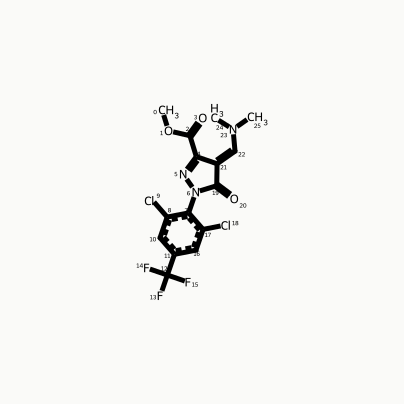 COC(=O)C1=NN(c2c(Cl)cc(C(F)(F)F)cc2Cl)C(=O)/C1=C/N(C)C